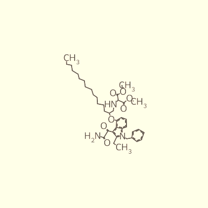 CCCCCCCCCCCCCCC(CNC(C(=O)OC)C(=O)OC)Oc1cccc2c1c(C(=O)C(N)=O)c(CC)n2Cc1ccccc1